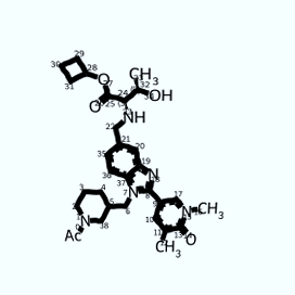 CC(=O)N1CCCC(Cn2c(-c3cc(C)c(=O)n(C)c3)nc3cc(CN[C@H](C(=O)OC4CCC4)[C@@H](C)O)ccc32)C1